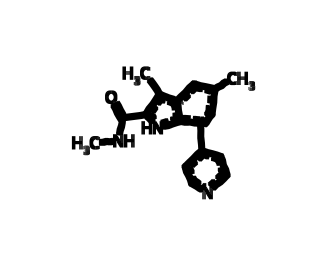 CNC(=O)c1[nH]c2c(-c3ccncc3)cc(C)cc2c1C